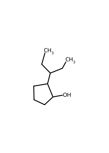 CCC(CC)C1CCCC1O